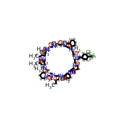 CCCC[C@H]1C(=O)N(C)[C@H](C(=O)N2CCCCC2)CC(=O)N(C)[C@@H](CC(C)C)C(=O)N[C@@H]([C@@H](C)CC)C(=O)N(C)CC(=O)N(C)CC(=O)N(C)[C@@H](CC2CCCCC2)C(=O)N(C)CC(=O)N[C@@H](CCc2ccc(C(F)(F)F)c(Cl)c2)C(=O)N2CCC[C@H]2C(=O)NC2(CCCC2)C(=O)N1C